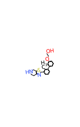 Cc1c(-c2cccc(OCCO)c2)cccc1-c1nc2c(s1)CNCC2